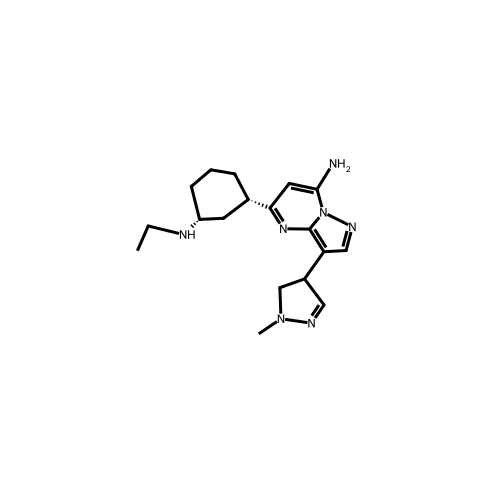 CCN[C@@H]1CCC[C@H](c2cc(N)n3ncc(C4C=NN(C)C4)c3n2)C1